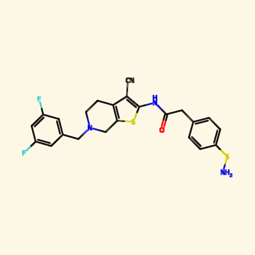 N#Cc1c(NC(=O)Cc2ccc(SN)cc2)sc2c1CCN(Cc1cc(F)cc(F)c1)C2